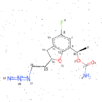 C[C@@H](OC(N)=O)c1cc(F)cc2c1OC(CCN=[N+]=[N-])C2